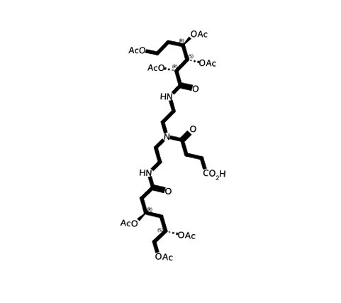 CC(=O)OCC[C@@H](OC(C)=O)[C@H](OC(C)=O)[C@@H](OC(C)=O)C(=O)NCCN(CCNC(=O)C[C@@H](C[C@@H](COC(C)=O)OC(C)=O)OC(C)=O)C(=O)CCC(=O)O